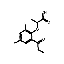 CCC(=O)c1cc(F)cc(F)c1OC(C)C(=O)O